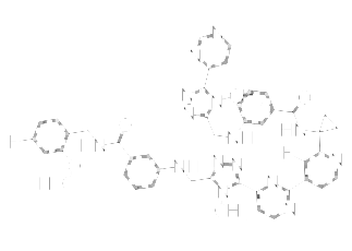 COc1cc(F)ccc1CNC(=O)c1cccc(NCc2nnc(-c3ccnc(-c4ccnc(C5(NC(=O)c6cccc(NCc7nnc(-c8ccncn8)n7C)c6)CC5)c4F)n3)n2C)c1